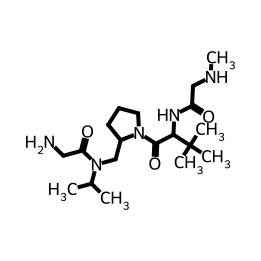 CNCC(=O)NC(C(=O)N1CCCC1CN(C(=O)CN)C(C)C)C(C)(C)C